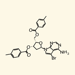 Cc1ccc(C(=O)OC[C@@H]2O[C@@H](n3cc(Br)c4c(N)ncnc43)C[C@@H]2OC(=O)c2ccc(C)cc2)cc1